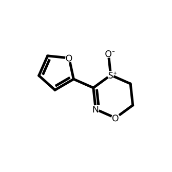 [O-][S+]1CCON=C1c1ccco1